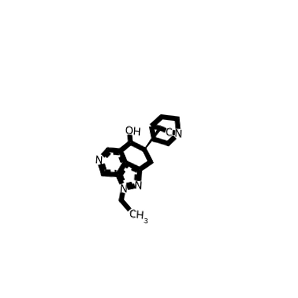 CCn1nc2c3c(cncc31)C(O)[C@@H](C1CN3CCC1CC3)C2